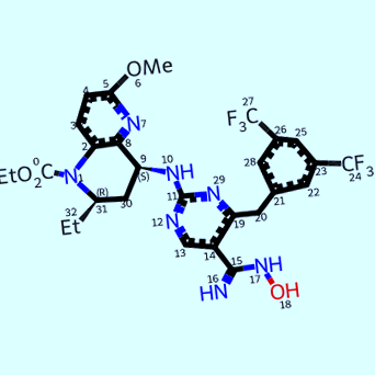 CCOC(=O)N1c2ccc(OC)nc2[C@@H](Nc2ncc(C(=N)NO)c(Cc3cc(C(F)(F)F)cc(C(F)(F)F)c3)n2)C[C@H]1CC